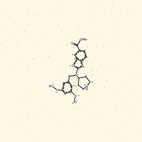 COC(=O)c1ccc2nc(N(Cc3cc(OC(C)C)cc(OC(C)C)c3)C3CCNCC3)oc2c1